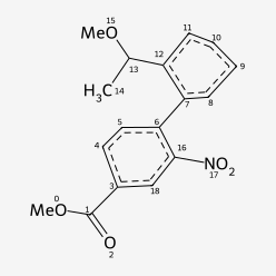 COC(=O)c1ccc(-c2ccccc2C(C)OC)c([N+](=O)[O-])c1